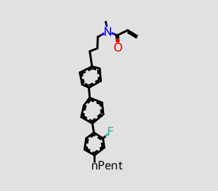 C=CC(=O)N(C)CCCc1ccc(-c2ccc(-c3ccc(CCCCC)cc3F)cc2)cc1